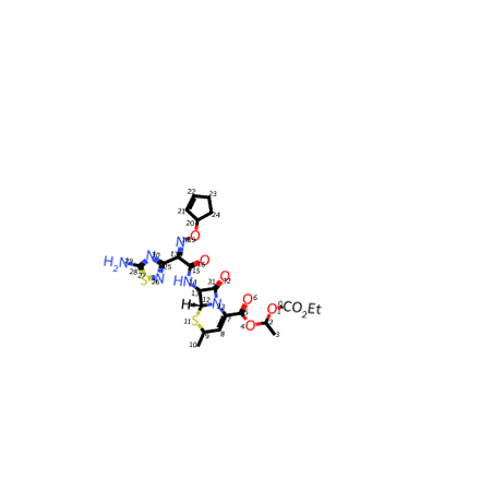 CCOC(=O)OC(C)OC(=O)C1=CC(C)S[C@@H]2C(NC(=O)/C(=N\OC3C=CCC3)c3nsc(N)n3)C(=O)N12